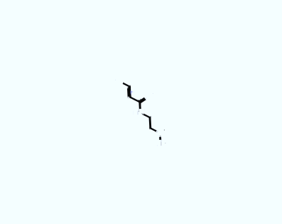 CC(=O)/C=C/C(=O)NCCOC(C)C